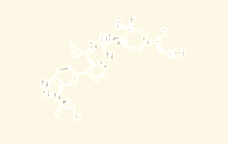 COc1nc(N[C@@H]2CCN(C(=O)CO)CC2(F)F)nn2ccc(-c3ccc4nnn([C@H](C)CF)c4c3)c12